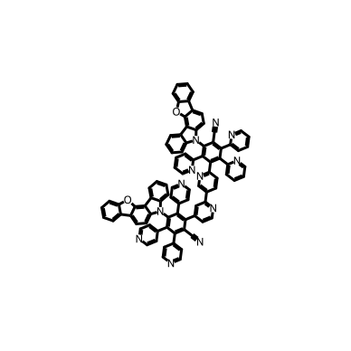 N#Cc1c(-c2ccncc2)c(-c2ccncc2)c(-n2c3ccccc3c3c4oc5ccccc5c4ccc32)c(-c2ccncc2)c1-c1ccnc(-c2ccc(-c3c(-c4ccccn4)c(-c4ccccn4)c(C#N)c(-n4c5ccccc5c5c6oc7ccccc7c6ccc54)c3-c3ccccn3)nc2)c1